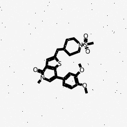 COc1ccc(-c2cn(C)c(=O)c3cc(CC4CCN(S(C)(=O)=O)CC4)sc23)cc1OC